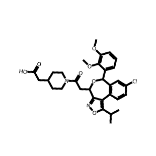 COc1cccc(C2OC(CC(=O)N3CCC(CC(=O)O)CC3)c3noc(C(C)C)c3-c3ccc(Cl)cc32)c1OC